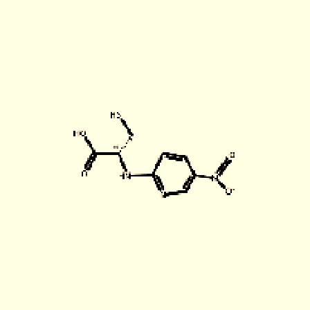 O=C(O)[C@H](CS)Nc1ccc([N+](=O)[O-])cn1